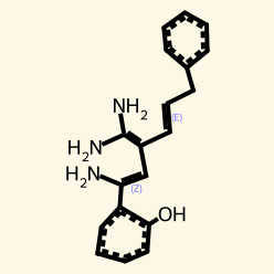 NC(N)=C(/C=C(\N)c1ccccc1O)/C=C/Cc1ccccc1